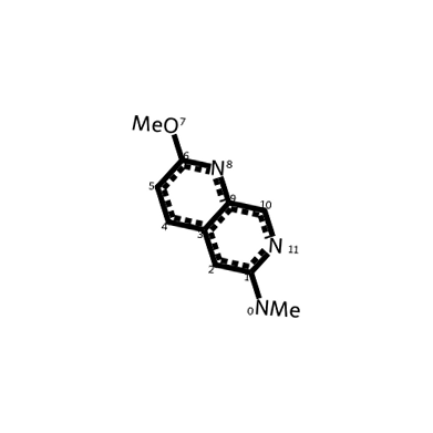 CNc1cc2ccc(OC)nc2cn1